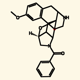 COc1ccc2c(c1)C13CCNC(C2)C12CCC1C3[C@@H](CN1C(=O)c1ccccc1)O2